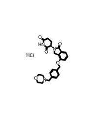 Cl.O=C1CC[C@@H](N2Cc3c(OCc4ccc(CN5CCOCC5)cc4)cccc3C2=O)C(=O)N1